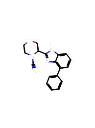 N#CN1CCOCC1c1nc2c(-c3ccccc3)cccc2[nH]1